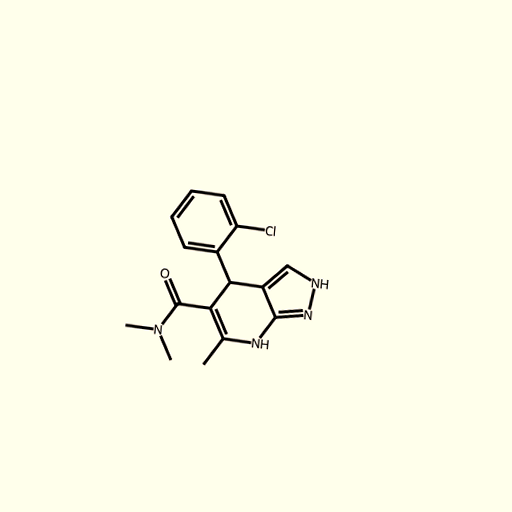 CC1=C(C(=O)N(C)C)C(c2ccccc2Cl)c2c[nH]nc2N1